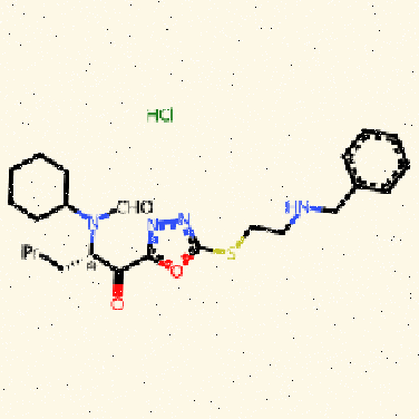 CC(C)C[C@@H](C(=O)c1nnc(SCCNCc2ccccc2)o1)N(C=O)C1CCCCC1.Cl